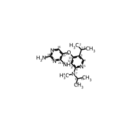 CC(C)c1cnc(N(C)C(C)C)cc1Oc1cnc(N)nc1N